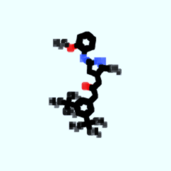 C=C1N/C(=N\c2ccccc2OC)CC1CC(=O)Cc1cc(C(C)(C)C)cc(C(C)(C)C)c1